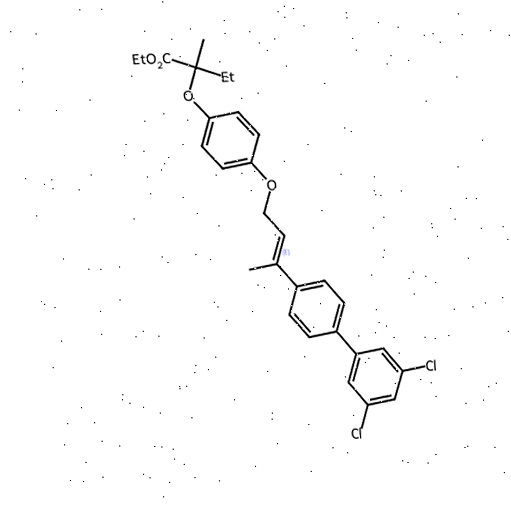 CCOC(=O)C(C)(CC)Oc1ccc(OC/C=C(\C)c2ccc(-c3cc(Cl)cc(Cl)c3)cc2)cc1